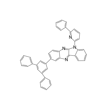 c1ccc(-c2cc(-c3ccccc3)cc(-c3ccc4nc5c(nc4c3)c3ccccc3n5-c3cccc(-c4ccccc4)n3)c2)cc1